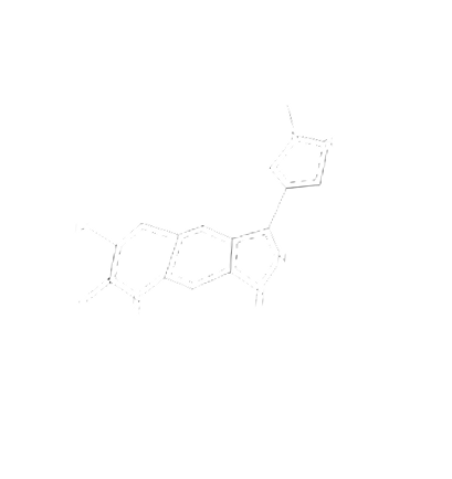 Cn1cc(-c2n[nH]c3cc4[nH]c(=O)c(Br)cc4cc23)cn1